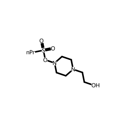 CCCS(=O)(=O)ON1CCN(CCO)CC1